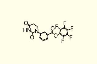 O=C1CCN(c2cccc(C(=O)Oc3c(F)c(F)c(F)c(F)c3F)c2)C(=O)N1